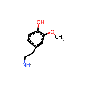 COc1cc(CC[NH])ccc1O